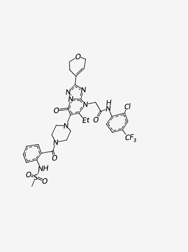 CCc1c(N2CCN(C(=O)c3ccccc3NS(C)(=O)=O)CC2)c(=O)n2nc(C3=CCOCC3)nc2n1CC(=O)Nc1ccc(C(F)(F)F)cc1Cl